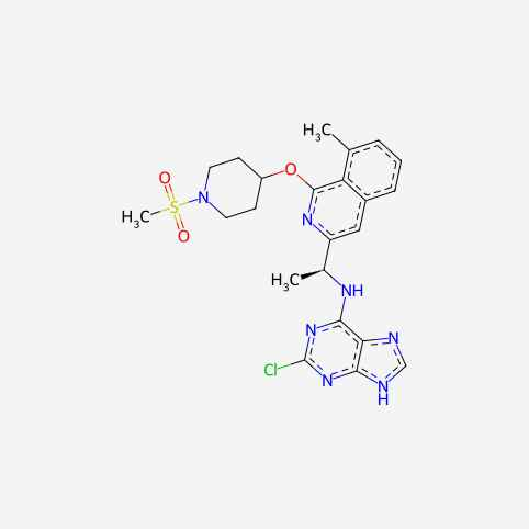 Cc1cccc2cc([C@H](C)Nc3nc(Cl)nc4[nH]cnc34)nc(OC3CCN(S(C)(=O)=O)CC3)c12